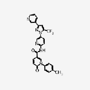 Cc1ccc(-n2cc(C(=O)Nc3ccc(-n4nc(-c5cccnc5)cc4C(F)(F)F)cn3)ccc2=O)cc1